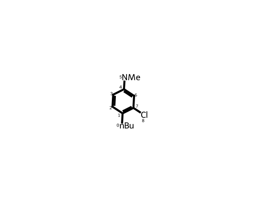 CCCCc1ccc(NC)cc1Cl